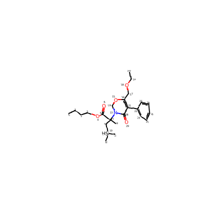 CCCCOC(=O)C(C)(C[SiH](C)C)N1COC(COCC)=C(c2ccccc2)C1=O